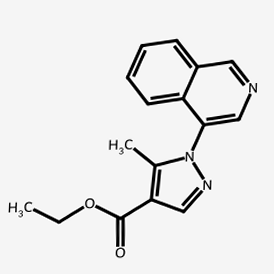 CCOC(=O)c1cnn(-c2cncc3ccccc23)c1C